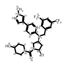 CC[C@@H]1C[C@H](N(Cc2cc(C(F)(F)F)cc(C(F)(F)F)c2)c2ncc(-c3cnn(C)c3)cn2)CN1C(=O)N1CCC(O)CC1